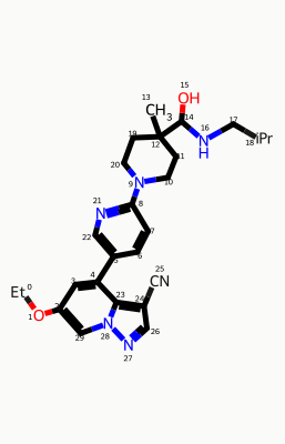 CCOc1cc(-c2ccc(N3CCC(C)(C(O)NCC(C)C)CC3)nc2)c2c(C#N)cnn2c1